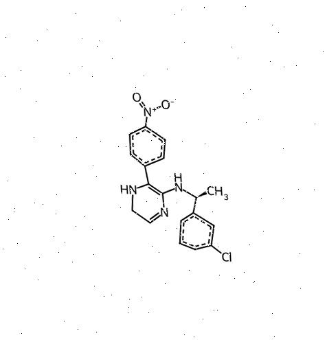 C[C@H](NC1=C(c2ccc([N+](=O)[O-])cc2)NCC=N1)c1cccc(Cl)c1